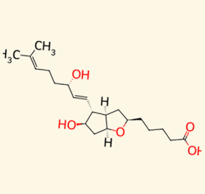 CC(C)=CCC[C@H](O)/C=C/[C@@H]1[C@H]2C[C@@H](CCCCC(=O)O)O[C@H]2C[C@H]1O